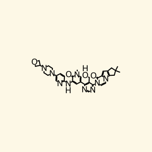 Cn1cc(-c2ncnc(-n3ccn4c5c(cc4c3=O)CC(C)(C)C5)c2CO)cc(Nc2ccc(N3CCN(C4COC4)CC3)cn2)c1=O